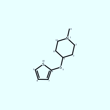 CN1CCC(Sc2cccs2)CC1